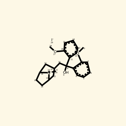 COc1ccccc1C(O)(CC1CC2CCC(C1)[N+]2(C)C)c1ccccc1OC.[I-]